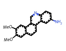 COc1cc2ccc3c4cc(N)ccc4ncc3c2cc1OC